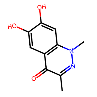 Cc1nn(C)c2cc(O)c(O)cc2c1=O